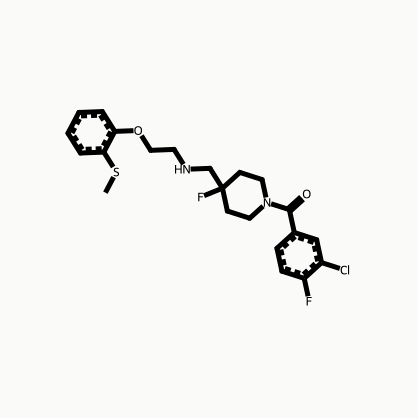 CSc1ccccc1OCCNCC1(F)CCN(C(=O)c2ccc(F)c(Cl)c2)CC1